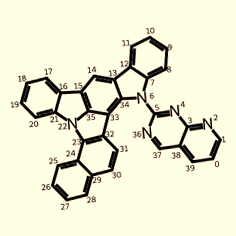 c1cnc2nc(-n3c4ccccc4c4cc5c6ccccc6n6c7c8ccccc8ccc7c(c43)c56)ncc2c1